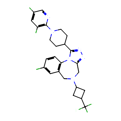 Fc1cnc(N2CCC(c3nnc4n3-c3ccc(Cl)cc3CN(C3CC(C(F)(F)F)C3)C4)CC2)c(F)c1